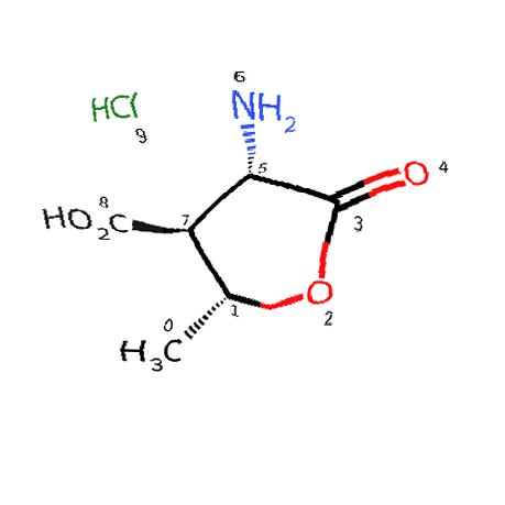 C[C@H]1OC(=O)[C@@H](N)[C@@H]1C(=O)O.Cl